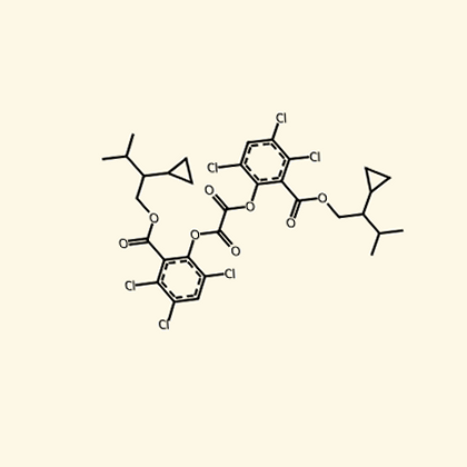 CC(C)C(COC(=O)c1c(Cl)c(Cl)cc(Cl)c1OC(=O)C(=O)Oc1c(Cl)cc(Cl)c(Cl)c1C(=O)OCC(C(C)C)C1CC1)C1CC1